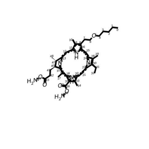 CCCCCOCCc1c(C)c2cc3nc(c(C)c4[nH]c(cc5nc(cc1[nH]2)C(C)=C5CC)c(C)c4C(=O)ON)[C@@H](CCC(=O)ON)[C@@H]3C